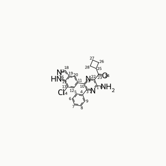 Nc1nc(-c2ccccc2)c(-c2cc(Cl)c3[nH]ncc3c2)nc1C(=O)C1CCC1